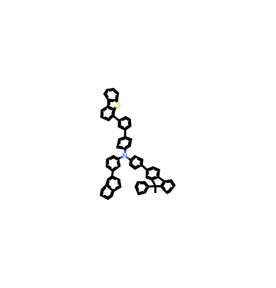 CC1(c2ccccc2)c2ccccc2-c2ccc(-c3ccc(N(c4ccc(-c5cccc(-c6cccc7c6sc6ccccc67)c5)cc4)c4cccc(-c5ccc6ccccc6c5)c4)cc3)cc21